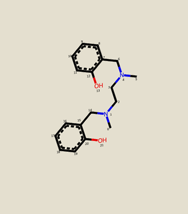 CN(CCN(C)Cc1ccccc1O)Cc1ccccc1O